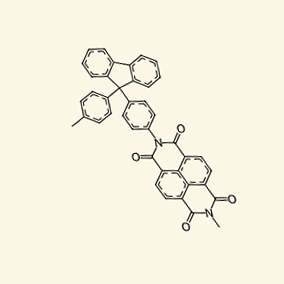 Cc1ccc(C2(c3ccc(N4C(=O)c5ccc6c7c(ccc(c57)C4=O)C(=O)N(C)C6=O)cc3)c3ccccc3-c3ccccc32)cc1